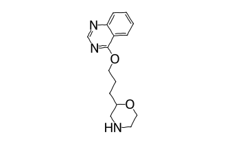 c1ccc2c(OCCCC3CNCCO3)ncnc2c1